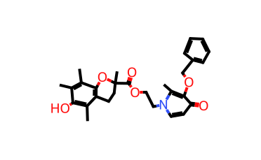 Cc1c(C)c2c(c(C)c1O)CCC(C)(C(=O)OCCn1ccc(=O)c(OCc3ccccc3)c1C)O2